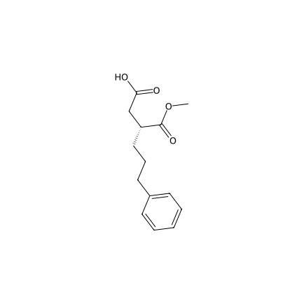 COC(=O)[C@H](CCCc1ccccc1)CC(=O)O